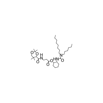 CCCCCCCCN(CCCCCC)C(=O)NC1CCCCC1OC(=O)CCNC(=O)C1OC(C)(C)OCC1(C)C